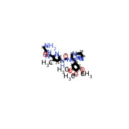 COc1cc(-c2c(NC(=O)Nc3cnc(-c4noc(CN)n4)c(C)c3)cnc3ccnn23)cc(OC)c1OC